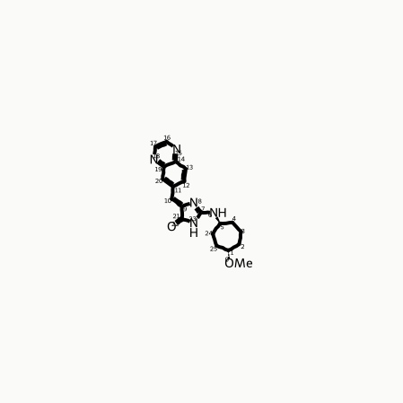 CO[C@H]1CCC[C@H](NC2=N/C(=C\c3ccc4nccnc4c3)C(=O)N2)CC1